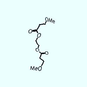 COCCC(=O)OCCOC(=O)CCOC